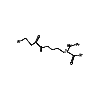 CC(C)CCC(=O)NCCCC[C@H](NC(C)C)C(=O)C(C)C